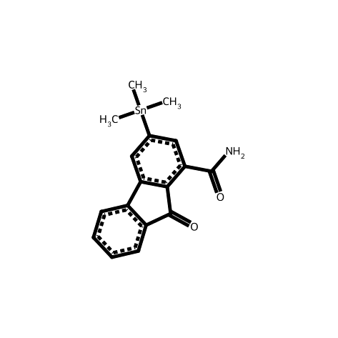 [CH3][Sn]([CH3])([CH3])[c]1cc(C(N)=O)c2c(c1)-c1ccccc1C2=O